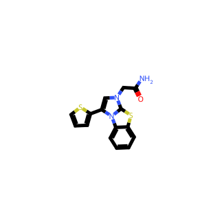 NC(=O)CN1C=C(c2cccs2)N2c3ccccc3SC12